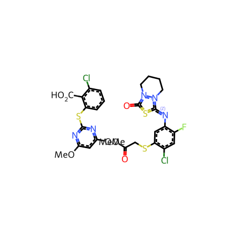 COC(=O)CSc1cc(/N=c2\sc(=O)n3n2CCCC3)c(F)cc1Cl.COc1cc(OC)nc(Sc2cccc(Cl)c2C(=O)O)n1